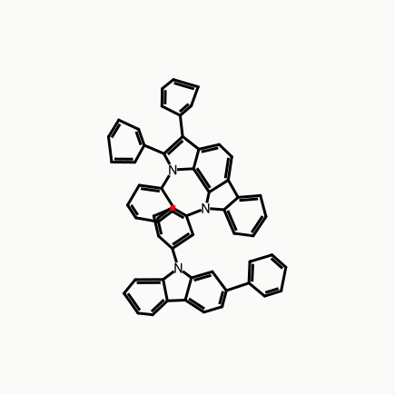 c1ccc(-c2ccc3c4ccccc4n(-c4cccc(-n5c6ccccc6c6ccc7c(-c8ccccc8)c(-c8ccccc8)n(-c8ccccc8)c7c65)c4)c3c2)cc1